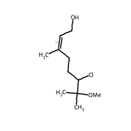 COC(C)(C)C(Cl)CC/C(C)=C\CO